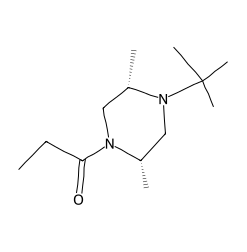 CCC(=O)N1C[C@H](C)N(C(C)(C)C)C[C@@H]1C